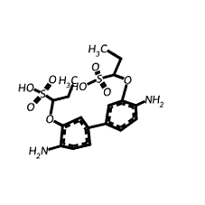 CCC(Oc1cc(-c2ccc(N)c(OC(CC)S(=O)(=O)O)c2)ccc1N)S(=O)(=O)O